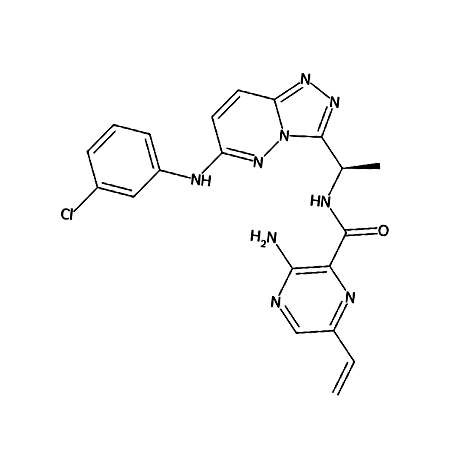 C=Cc1cnc(N)c(C(=O)N[C@H](C)c2nnc3ccc(Nc4cccc(Cl)c4)nn23)n1